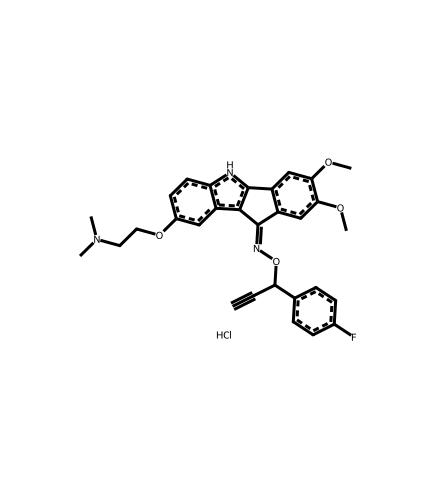 C#CC(O/N=C1\c2cc(OC)c(OC)cc2-c2[nH]c3ccc(OCCN(C)C)cc3c21)c1ccc(F)cc1.Cl